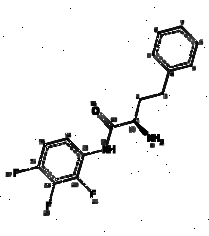 N[C@H](CCc1ccccc1)C(=O)Nc1ccc(F)c(F)c1F